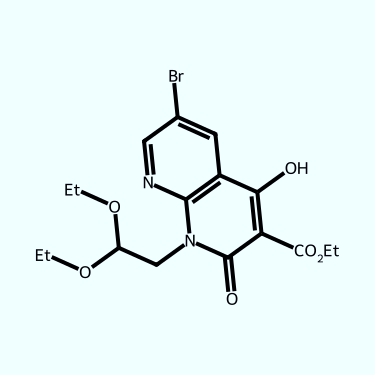 CCOC(=O)c1c(O)c2cc(Br)cnc2n(CC(OCC)OCC)c1=O